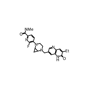 CCc1cc2ncc(CN3CCN(c4ccc(C(=O)NC)nc4F)C4CC43)cc2[nH]c1=O